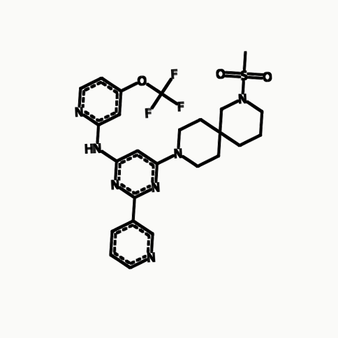 CS(=O)(=O)N1CCCC2(CCN(c3cc(Nc4cc(OC(F)(F)F)ccn4)nc(-c4cccnc4)n3)CC2)C1